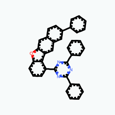 c1ccc(-c2ccc3cc4oc5cccc(-c6nc(-c7ccccc7)nc(-c7ccccc7)n6)c5c4cc3c2)cc1